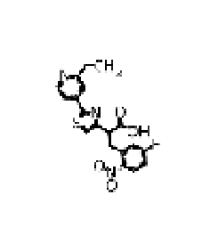 CCc1cc(-c2nc(C(Cc3cc(F)ccc3[N+](=O)[O-])C(=O)O)cs2)ccn1